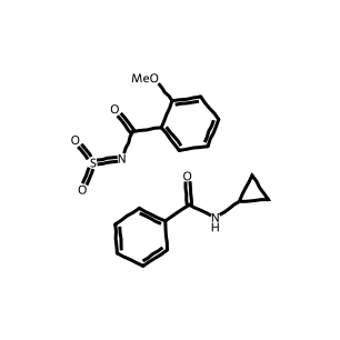 COc1ccccc1C(=O)N=S(=O)=O.O=C(NC1CC1)c1ccccc1